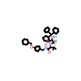 CC1(C)S[C@@H]2C(NC(c3ccccc3)(c3ccccc3)c3ccccc3)C(=O)N2C1C(=O)NCc1ccc(OCc2ccccc2)cc1